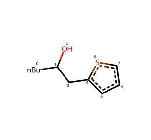 CCCCC(O)Cc1cccs1